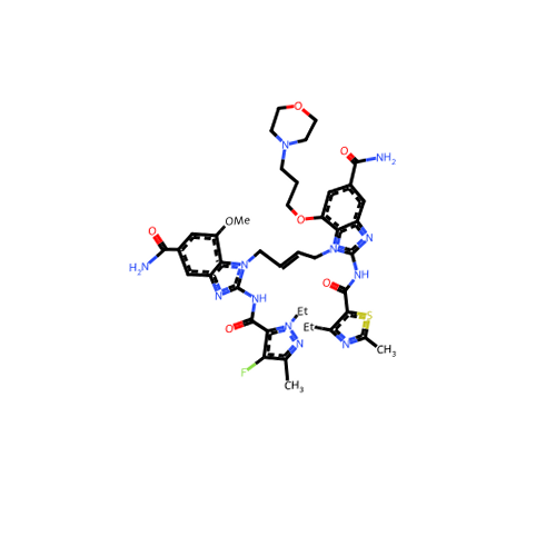 CCc1nc(C)sc1C(=O)Nc1nc2cc(C(N)=O)cc(OCCCN3CCOCC3)c2n1C/C=C/Cn1c(NC(=O)c2c(F)c(C)nn2CC)nc2cc(C(N)=O)cc(OC)c21